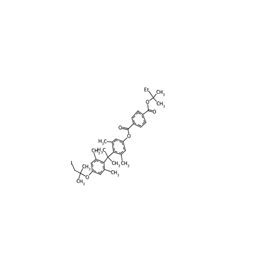 CCC(C)(C)OC(=O)c1ccc(C(=O)Oc2cc(C)c(C(C)(C)c3c(C)cc(OC(C)(C)CI)cc3C)c(C)c2)cc1